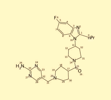 CCCc1nc2cc(F)ccc2n1C1CCN(C(=O)C2CCN(Cc3cnc(N)nc3)CC2)CC1